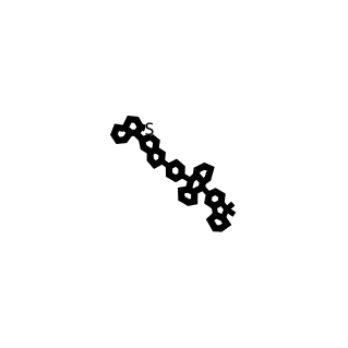 CC1(C)c2ccccc2-c2cc(-c3c4ccccc4c(-c4ccc(-c5ccc6cc7c(cc6c5)sc5ccc6ccccc6c57)cc4)c4ccccc34)ccc21